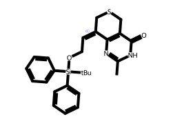 Cc1nc2c(c(=O)[nH]1)CSC/C2=C/CO[Si](c1ccccc1)(c1ccccc1)C(C)(C)C